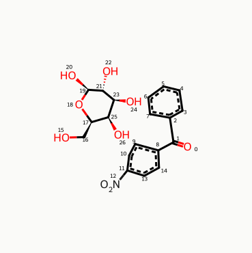 O=C(c1ccccc1)c1ccc([N+](=O)[O-])cc1.OC[C@H]1O[C@@H](O)[C@H](O)[C@@H](O)[C@H]1O